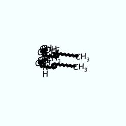 CCCCCCCCCCc1ccc(CCNC2CCC(C(=O)O)(C(=O)O)C2)c(F)c1F.CCCCCCCCCCc1ccc(CCNC2CCC(C(=O)O)(C(=O)OCC)C2)cc1